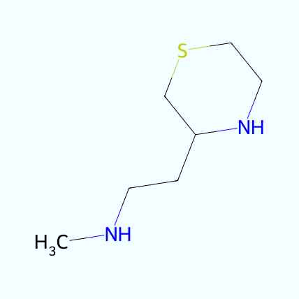 CNCCC1CSCCN1